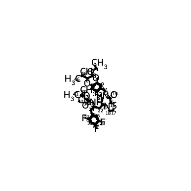 CCOC(=O)C(Oc1ccc(CNC(=O)C2SCCN2C(=O)CC(Cc2cc(F)c(F)cc2F)NC(=O)OC(C)(C)C)cc1)C(C)C